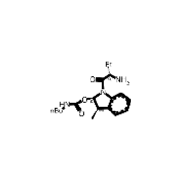 CCCCNC(=O)O[C@@H]1[C@H](C)c2ccccc2N1C(=O)[C@@H](N)CC